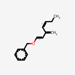 C=C(/C=C\CC)/C=C/OCc1ccccc1